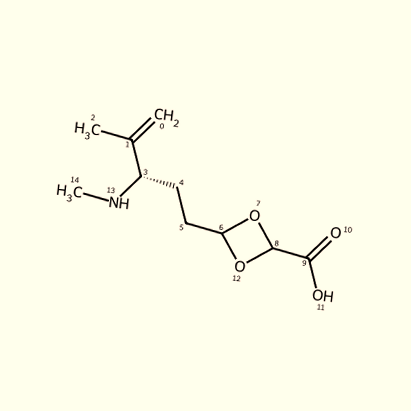 C=C(C)[C@H](CCC1OC(C(=O)O)O1)NC